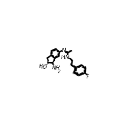 CC(=Nc1ccc2c(c1)C(N)[C@H](O)C2)NCCc1ccc(F)cc1